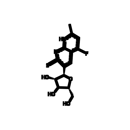 Cc1cc(F)c2cc([C@@H]3O[C@H](CO)C(O)[C@@H]3O)c(=S)nc-2[nH]1